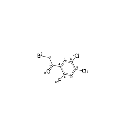 O=C(CBr)c1cc(Cl)c(Cl)cc1F